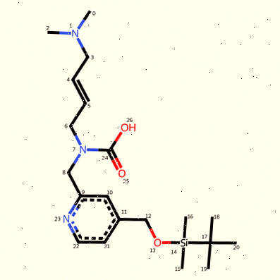 CN(C)C/C=C/CN(Cc1cc(CO[Si](C)(C)C(C)(C)C)ccn1)C(=O)O